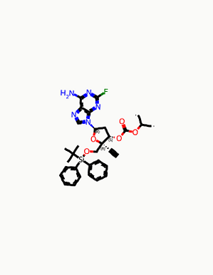 C#C[C@]1(CO[Si](c2ccccc2)(c2ccccc2)C(C)(C)C)O[C@@H](n2cnc3c(N)nc(F)nc32)C[C@@H]1OC(=O)OC([CH2])[CH2]